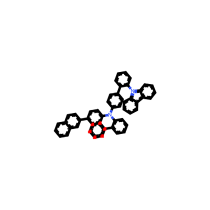 c1ccc(-c2ccccc2N(c2ccc(-c3ccccc3-n3c4ccccc4c4ccccc43)cc2)c2ccc(-c3ccc4ccccc4c3)c3ccccc23)cc1